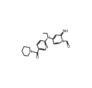 CCN(c1ccn(C=O)c(=N)c1)c1ccc(C(=O)N2CCCCC2)cn1